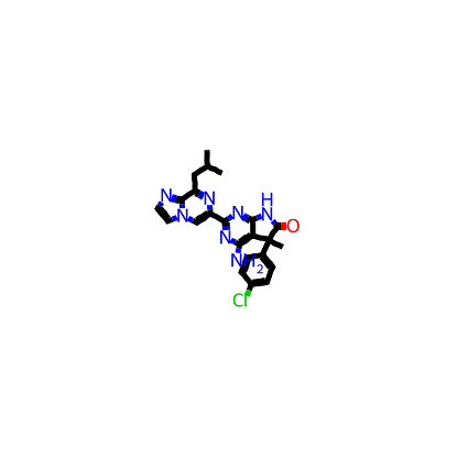 CC(C)Cc1nc(-c2nc(N)c3c(n2)NC(=O)C3(C)c2ccc(Cl)cc2)cn2ccnc12